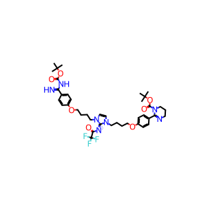 CC(C)(C)OC(=O)NC(=N)c1ccc(OCCCCn2ccn(CCCCOc3ccc(C4=NCCCN4C(=O)OC(C)(C)C)cc3)/c2=N/C(=O)C(F)(F)F)cc1